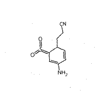 N#CCCC1C=CC(N)=CC1=S(=O)=O